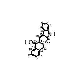 O=C1Nc2ccccc2C1=CC1CCc2ccccc2C1O